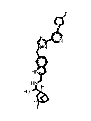 CC(NCc1cc2ccc(Cn3cnc(-c4cncc(N5CC[C@@H](F)C5)c4)n3)cc2[nH]1)[C@@H]1C[C@H](F)C2CC1C2